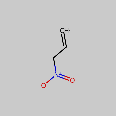 [CH]=CC[N+](=O)[O-]